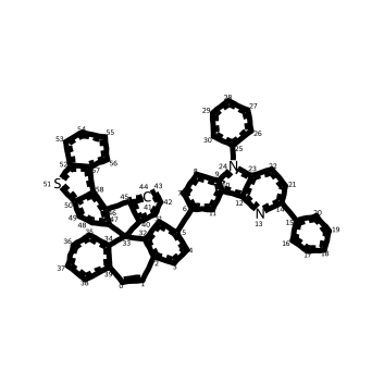 C1=Cc2ccc(-c3ccc4c(c3)c3nc(-c5ccccc5)ccc3n4-c3ccccc3)cc2C2(c3ccccc31)c1ccccc1-c1c2ccc2sc3ccccc3c12